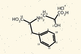 CC(O)C(=O)O.Cl.NC(Cc1ccccc1)C(=O)O